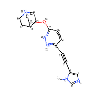 Cn1cncc1C#Cc1ccc(OC2CN3CCC2CC3)nn1